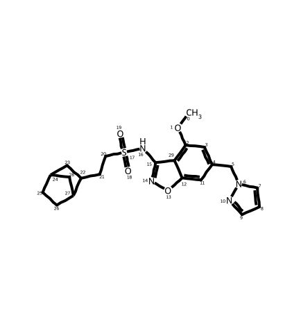 COc1cc(Cn2cccn2)cc2onc(NS(=O)(=O)CCC3CC4CCC3C4)c12